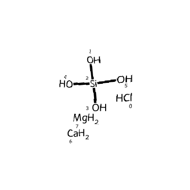 Cl.O[Si](O)(O)O.[CaH2].[MgH2]